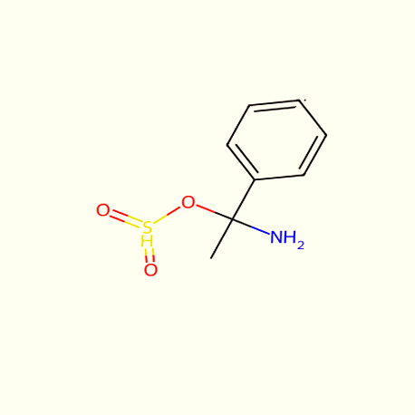 CC(N)(O[SH](=O)=O)c1cc[c]cc1